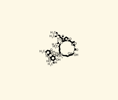 CCN(CC)CCS(=O)(=O)[C@@H]1CCN2C(=O)c3coc(n3)CC(=O)C[C@H](O)/C=C(C)/C=C/CNC(=O)/C=C/[C@@H](C)[C@@H](C(C)C)OC(=O)[C@@H]12.CN[C@@H]1[C@H](O)[C@H](NC)[C@H]2O[C@@]3(O)C(=O)C[C@@H](C)O[C@H]3O[C@@H]2[C@H]1O